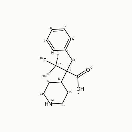 O=C(O)C(Cc1ccccc1)(C1CCNCC1)C(F)(F)F